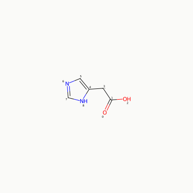 O=C(O)[CH]c1cnc[nH]1